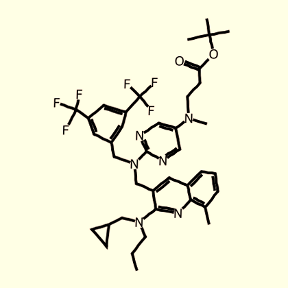 CCCN(CC1CC1)c1nc2c(C)cccc2cc1CN(Cc1cc(C(F)(F)F)cc(C(F)(F)F)c1)c1ncc(N(C)CCC(=O)OC(C)(C)C)cn1